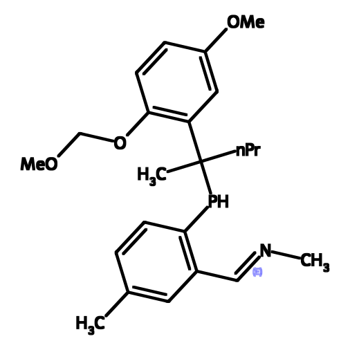 CCCC(C)(Pc1ccc(C)cc1/C=N/C)c1cc(OC)ccc1OCOC